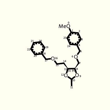 COc1ccc(COC[C@H]2OC(C)O[C@H]2CCOCc2ccccc2)cc1